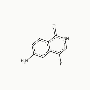 Nc1ccc2c(=O)[nH]cc(F)c2c1